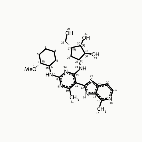 CO[C@@H]1CCCC[C@H]1Nc1nc(C)c(-c2nc3c(C)nccc3s2)c(N[C@@H]2C[C@H](CO)[C@@H](O)[C@H]2O)n1